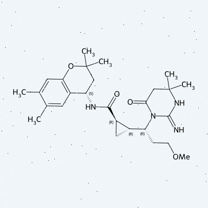 COCC[C@H]([C@@H]1C[C@H]1C(=O)N[C@H]1CC(C)(C)Oc2cc(C)c(C)cc21)N1C(=N)NC(C)(C)CC1=O